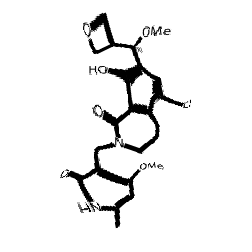 COc1cc(C)[nH]c(=O)c1CN1CCc2c(Cl)cc([C@H](OC)C3COC3)c(O)c2C1=O